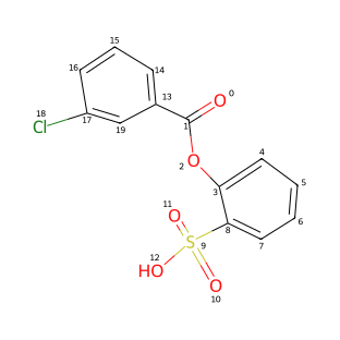 O=C(Oc1ccccc1S(=O)(=O)O)c1cccc(Cl)c1